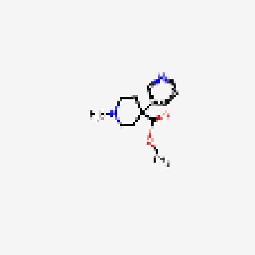 BN1CCC(C(=O)OCC)(c2cccnc2)CC1